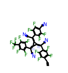 C#Cc1c(F)c(F)c(/C(C#N)=C2/C(=C(C#N)c3c(F)c(F)c(C#N)c(F)c3F)/C2=C(/C#N)c2c(F)c(F)c(C(F)(F)F)c(F)c2F)c(F)c1F